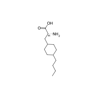 CCCCC1CCC(C[C@@H](N)C(=O)O)CC1